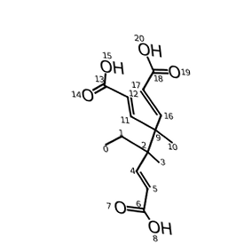 CCC(C)(C=CC(=O)O)C(C)(C=CC(=O)O)C=CC(=O)O